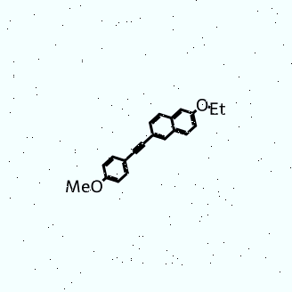 CCOc1ccc2cc(C#Cc3ccc(OC)cc3)ccc2c1